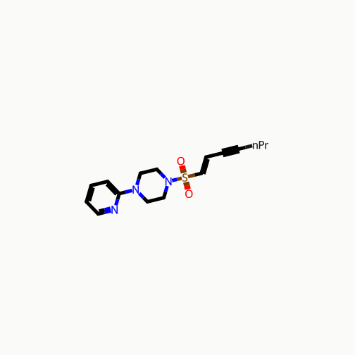 CCCC#CC=CS(=O)(=O)N1CCN(c2ccccn2)CC1